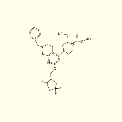 CN1CC(F)(F)C[C@H]1COc1nc2c(c(N3CCN(C(=O)OC(C)(C)C)[C@@H](CC#N)C3)n1)CCN(Cc1ccccc1)C2